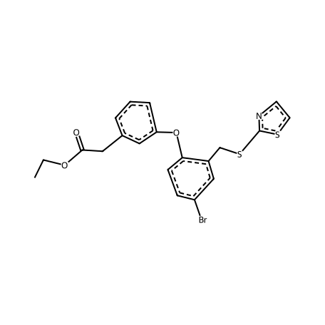 CCOC(=O)Cc1cccc(Oc2ccc(Br)cc2CSc2nccs2)c1